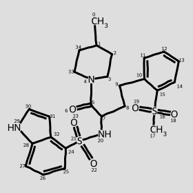 CC1CCN(C(=O)C(CCc2ccccc2S(C)(=O)=O)NS(=O)(=O)c2cccc3[nH]ccc23)CC1